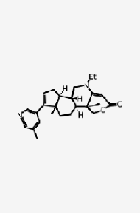 CCN1C[C@H]2[C@@H]3CC=C(c4cncc(C)c4)C3(C)CC[C@@H]2[C@@]2(C)CCC(=O)C=C12